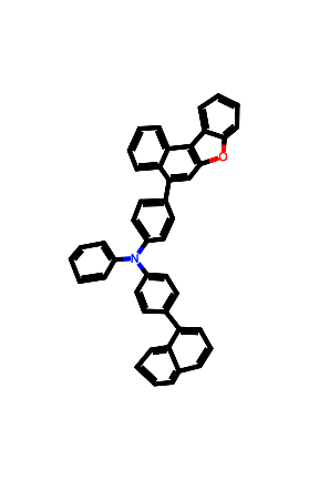 c1ccc(N(c2ccc(-c3cccc4ccccc34)cc2)c2ccc(-c3cc4oc5ccccc5c4c4ccccc34)cc2)cc1